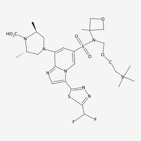 C[C@H]1CN(c2cc(S(=O)(=O)N(COCC[Si](C)(C)C)C3(C)COC3)cn3c(-c4nnc(C(F)F)s4)cnc23)C[C@H](C)N1C(=O)O